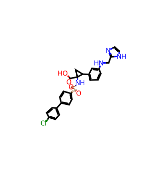 O=C(O)C1(NS(=O)(=O)c2ccc(-c3ccc(Cl)cc3)cc2)CC1c1cccc(NCc2ncc[nH]2)c1